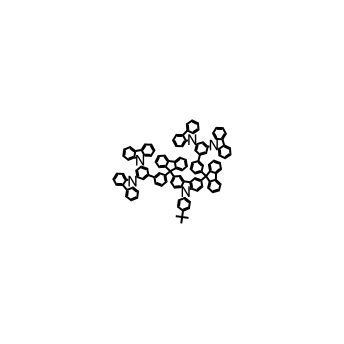 CC(C)(C)c1ccc(-n2c3ccc(C4(c5cccc(-c6cc(-n7c8ccccc8c8ccccc87)cc(-n7c8ccccc8c8ccccc87)c6)c5)c5ccccc5-c5ccccc54)cc3c3cc(C4(c5cccc(-c6cc(-n7c8ccccc8c8ccccc87)cc(-n7c8ccccc8c8ccccc87)c6)c5)c5ccccc5-c5ccccc54)ccc32)cc1